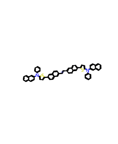 C(=C\c1ccc2cc(-c3ccc(N(c4ccccc4)c4ccc5ccccc5c4)s3)ccc2c1)/c1ccc2cc(-c3ccc(N(c4ccccc4)c4ccc5ccccc5c4)s3)ccc2c1